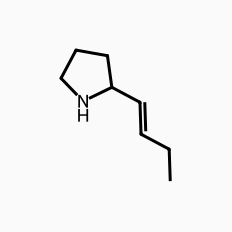 CCC=CC1CCCN1